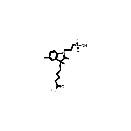 CC1=[N+](CCCS(=O)(=O)O)c2ccc(C)cc2C1(C)CCCCCC(=O)O